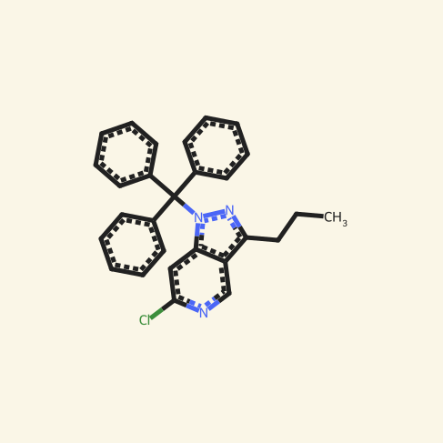 CCCc1nn(C(c2ccccc2)(c2ccccc2)c2ccccc2)c2cc(Cl)ncc12